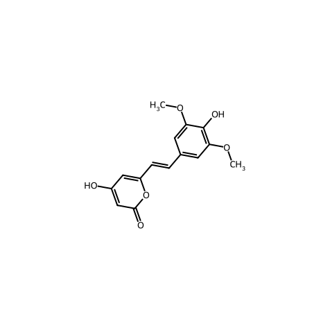 COc1cc(C=Cc2cc(O)cc(=O)o2)cc(OC)c1O